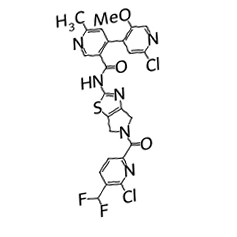 COc1cnc(Cl)cc1-c1cc(C)ncc1C(=O)Nc1nc2c(s1)CN(C(=O)c1ccc(C(F)F)c(Cl)n1)C2